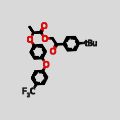 CC(Oc1ccc(Oc2ccc(C(F)(F)F)cc2)cc1)C(=O)OCC(=O)c1ccc(C(C)(C)C)cc1